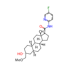 COC[C@@]1(O)CC[C@H]2[C@H](CC[C@@H]3[C@@H]2CC[C@]2(C)[C@@H](C(=O)Nc4ccc(F)cn4)CC[C@@H]32)C1